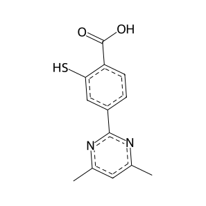 Cc1cc(C)nc(-c2ccc(C(=O)O)c(S)c2)n1